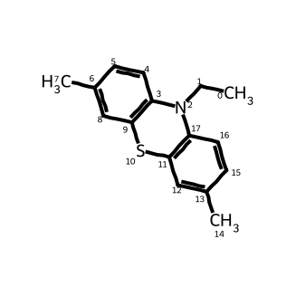 CCN1c2ccc(C)cc2Sc2cc(C)ccc21